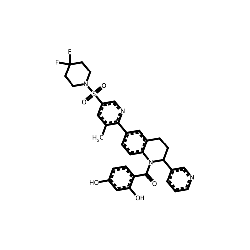 Cc1cc(S(=O)(=O)N2CCC(F)(F)CC2)cnc1-c1ccc2c(c1)CCC(c1cccnc1)N2C(=O)c1ccc(O)cc1O